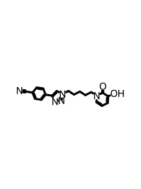 N#Cc1ccc(-c2cn(CCCCCn3cccc(O)c3=O)nn2)cc1